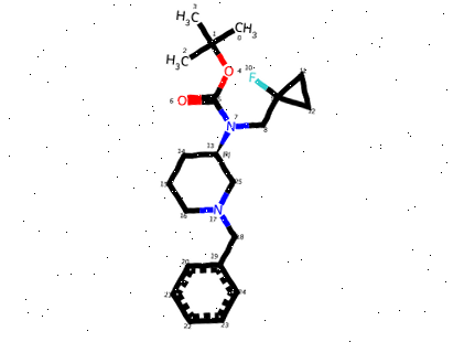 CC(C)(C)OC(=O)N(CC1(F)CC1)[C@@H]1CCCN(Cc2ccccc2)C1